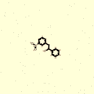 O=[N+]([O-])c1cccc([CH]C(F)c2ccccc2)c1